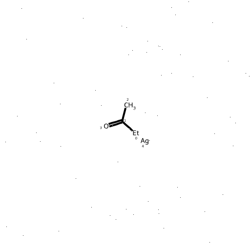 CCC(C)=O.[Ag]